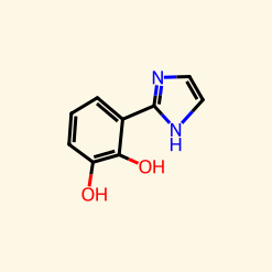 Oc1cccc(-c2ncc[nH]2)c1O